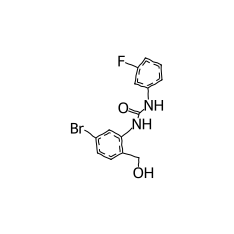 O=C(Nc1cccc(F)c1)Nc1cc(Br)ccc1CO